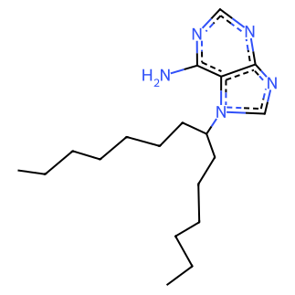 CCCCCCCC(CCCCCC)n1cnc2ncnc(N)c21